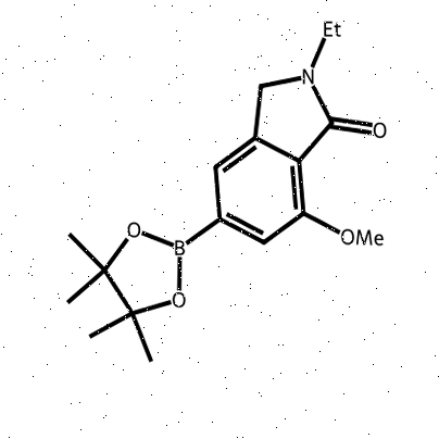 CCN1Cc2cc(B3OC(C)(C)C(C)(C)O3)cc(OC)c2C1=O